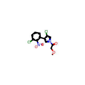 COCC(=O)n1cc(Cl)c(-c2cccc(Cl)c2[N+](=O)[O-])c1